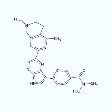 Cc1cc(-c2cnc3[nH]cc(-c4ccc(C(=O)N(C)C)cc4)c3n2)cc2c1CCN(C)C2